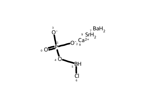 O=P([O-])([O-])OBCl.[BaH2].[Ca+2].[SrH2]